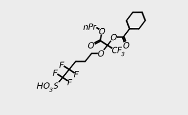 CCCOC(=O)C(OCCCC(F)(F)C(F)(F)S(=O)(=O)O)(OC(=O)C1CCCCC1)C(F)(F)F